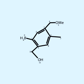 Bc1cc(COC)c(C)cc1CO